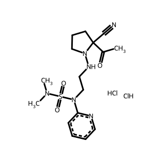 CC(=O)C1(C#N)CCCN1NCCN(c1ccccn1)S(=O)(=O)N(C)C.Cl.Cl